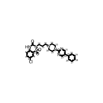 O=C1Nc2ccc(Cl)cc2S(=O)(=O)N1CCCN1CCN(c2ncc(-c3ccccc3)cn2)CC1